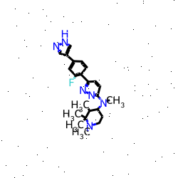 CC1C(N(C)c2ccc(-c3ccc(-c4cn[nH]c4)cc3F)nn2)CCN(C)C1(C)C